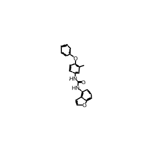 Cc1cc(NC(=O)Nc2cccc3occc23)ccc1Oc1ccccc1